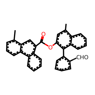 Cc1cc(OC(=O)c2cc3c(C)cccc3c3ccccc23)c(-c2ccccc2C=O)c2ccccc12